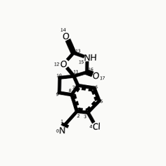 N#Cc1c(Cl)ccc2c1CCC21OC(=O)NC1=O